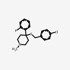 CN1CCC(SCc2ccc(Cl)cc2)(c2ccccc2F)CC1